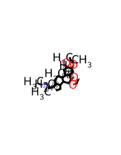 C/C=C/[C@@H](C)[C@H]1CCC2C3CC4(OCCO4)[C@H]4CC5OC(C)(C)O[C@@H]5C[C@]4(C)C3CC[C@@]21C